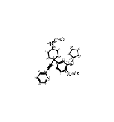 COc1ccc(C2(C#Cc3ccccn3)CCC(NC=O)CC2)cc1OC1CCCC1